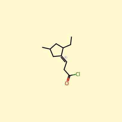 CCC1CC(C)C/C1=C\CC(=O)Cl